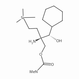 CNC(=O)OC[C@](N)(CC[Si](C)(C)C)[C@@H](O)C1CCCCC1